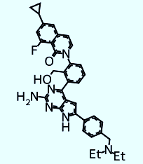 CCN(CC)Cc1ccc(-c2cc3c(-c4cccc(-n5ccc6cc(C7CC7)cc(F)c6c5=O)c4CO)nc(N)nc3[nH]2)cc1